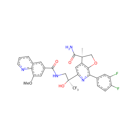 COc1cc(C(=O)NC[C@](O)(c2cc3c(c(-c4ccc(F)c(F)c4)n2)OC[C@]3(C)C(N)=O)C(F)(F)F)cc2cccnc12